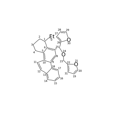 CCC1CCCc2c1ccc1c2ccc2ccccc21.c1coc(COCc2ccco2)c1